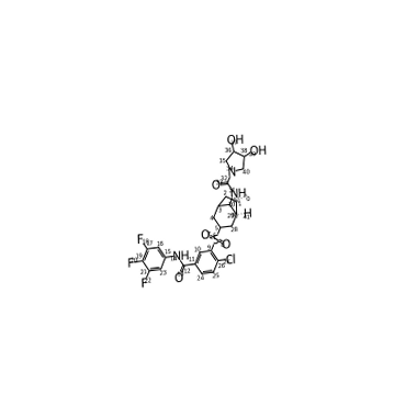 C[C@H]1CC2CC(S(=O)(=O)c3cc(C(=O)Nc4cc(F)c(F)c(F)c4)ccc3Cl)C[C@H]1C2NC(=O)N1CC(O)C(O)C1